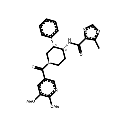 COc1cc(C(=O)N2CC[C@@H](NC(=O)c3ncsc3C)[C@@H](c3ccccc3)C2)cnc1OC